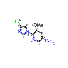 COc1cc(N)cnc1-n1cnc(Cl)c1